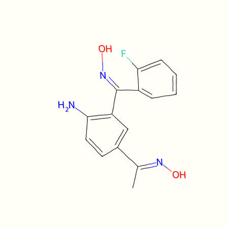 CC(=NO)c1ccc(N)c(C(=NO)c2ccccc2F)c1